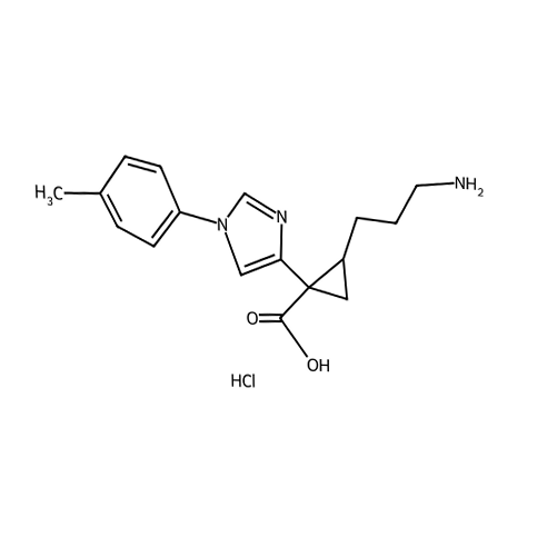 Cc1ccc(-n2cnc(C3(C(=O)O)CC3CCCN)c2)cc1.Cl